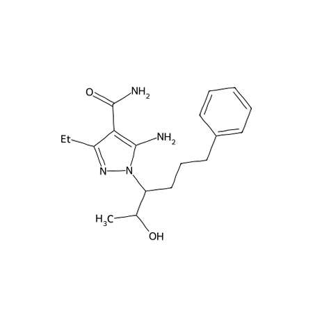 CCc1nn(C(CCCc2ccccc2)C(C)O)c(N)c1C(N)=O